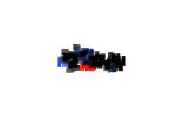 [2H]C([2H])([2H])n1cc(-c2ccc(-c3ncc(N(C)C4CC(C)(C)NC(C)(C)C4)nn3)c(O)c2)cn1